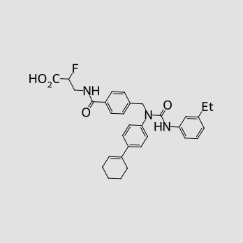 CCc1cccc(NC(=O)N(Cc2ccc(C(=O)NCC(F)C(=O)O)cc2)c2ccc(C3=CCCCC3)cc2)c1